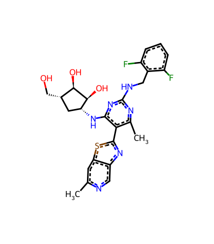 Cc1cc2sc(-c3c(C)nc(NCc4c(F)cccc4F)nc3N[C@@H]3C[C@H](CO)[C@@H](O)[C@H]3O)nc2cn1